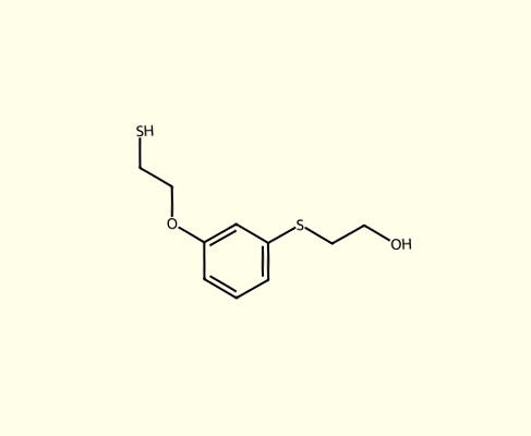 OCCSc1cccc(OCCS)c1